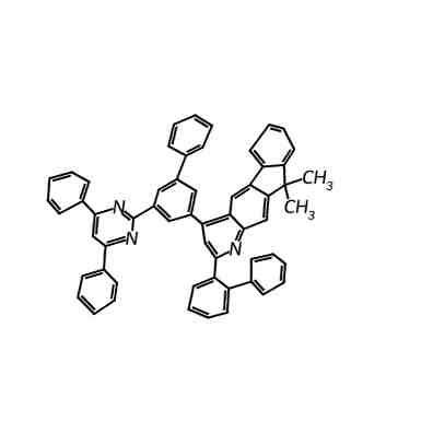 CC1(C)c2ccccc2-c2cc3c(-c4cc(-c5ccccc5)cc(-c5nc(-c6ccccc6)cc(-c6ccccc6)n5)c4)cc(-c4ccccc4-c4ccccc4)nc3cc21